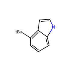 CC(C)(C)c1cccc2c1C=C[N]2